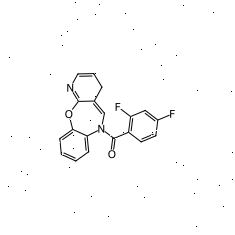 O=C(c1ccc(F)cc1F)N1C=C2CC=CN=C2Oc2ccccc21